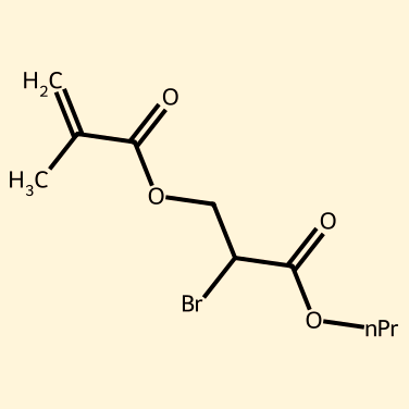 C=C(C)C(=O)OCC(Br)C(=O)OCCC